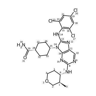 C[C@H]1COCC[C@@H]1Nc1ncc2nc(Nc3c(Cl)cc(Cl)cc3Cl)n([C@H]3CC[C@@H](C(N)=O)CC3)c2n1